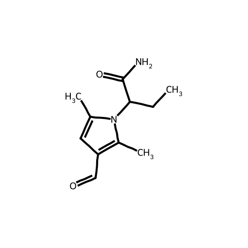 CCC(C(N)=O)n1c(C)cc(C=O)c1C